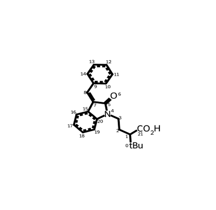 CC(C)(C)C(CCN1C(=O)/C(=C\c2ccccc2)c2ccccc21)C(=O)O